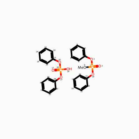 COP(=O)(Oc1ccccc1)Oc1ccccc1.O=P(O)(Oc1ccccc1)Oc1ccccc1